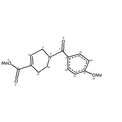 COC(=O)C1=CCN(C(=O)c2ccc(OC)cc2)CC1